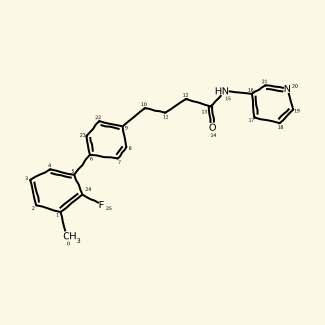 Cc1cccc(-c2ccc(CCCC(=O)Nc3cccnc3)cc2)c1F